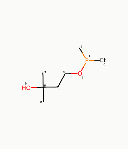 CCP(C)OCCC(C)(C)O